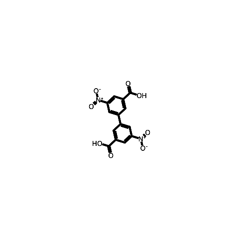 O=C(O)c1cc(-c2cc(C(=O)O)cc([N+](=O)[O-])c2)cc([N+](=O)[O-])c1